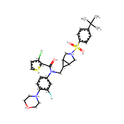 CC(C)(C)c1ccc(S(=O)(=O)N2CC3C(CN(C(=O)c4sccc4Cl)c4ccc(N5CCOCC5)c(F)c4)C3C2)cc1